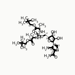 C[C@H](NP(=O)(N[C@@H](C)C(=O)OCC(C)(C)C)OC[C@H]1O[C@@H](n2cnc(C(N)=O)c2N)[C@H](O)[C@@H]1O)C(=O)OCC(C)(C)C